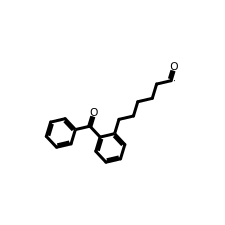 O=[C]CCCCCc1ccccc1C(=O)c1ccccc1